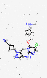 CN[C@H]1CC[C@@H](COc2nc(Nc3cnn(C4CC(C#N)C4)c3C)ncc2Cl)C1